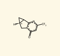 O=c1cc(C(F)(F)F)nc2n1C[C@@H]1CC21